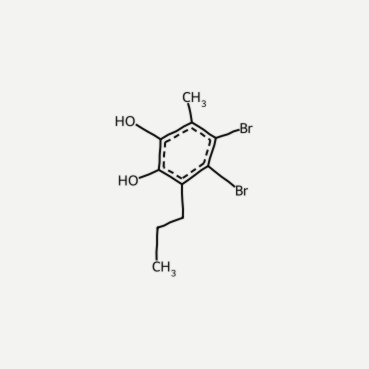 CCCc1c(O)c(O)c(C)c(Br)c1Br